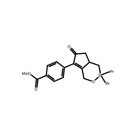 COC(=O)c1ccc(C2=C3CO[Si](C(C)C)(C(C)C)CC3CC2=O)cc1